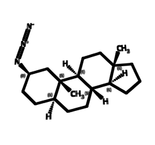 C[C@@]12CCC[C@H]1[C@@H]1CC[C@H]3CC[C@@H](N=[N+]=[N-])C[C@]3(C)[C@H]1CC2